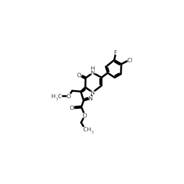 CCOC(=O)c1nn2cc(-c3ccc(Cl)c(F)c3)[nH]c(=O)c2c1COC